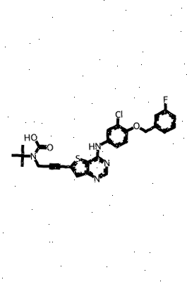 CC(C)(C)N(CC#Cc1cc2ncnc(Nc3ccc(OCc4cccc(F)c4)c(Cl)c3)c2s1)C(=O)O